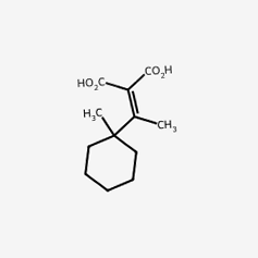 CC(=C(C(=O)O)C(=O)O)C1(C)CCCCC1